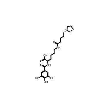 O=C(CCCC[C@@H]1CCSS1)NCCCCC(NC(=O)c1cc(O)c(O)c(O)c1)C(=O)O